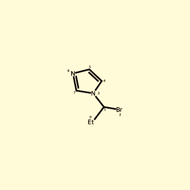 CCC(Br)n1ccnc1